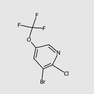 FC(F)(F)Oc1cnc(Cl)c(Br)c1